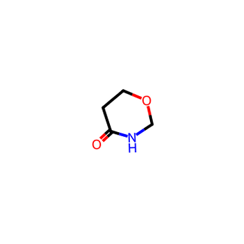 O=C1CCOCN1